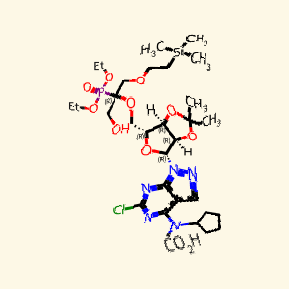 CCOP(=O)(OCC)[C@](CO)(COCC[Si](C)(C)C)OC[C@H]1O[C@@H](n2ncc3c(N(C(=O)O)C4CCCC4)nc(Cl)nc32)[C@@H]2OC(C)(C)O[C@@H]21